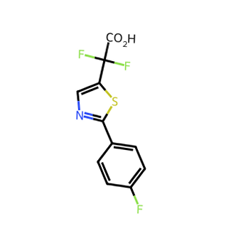 O=C(O)C(F)(F)c1cnc(-c2ccc(F)cc2)s1